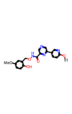 CCOc1ccc(-c2cncc(C(=O)NOCc3cc(OC)ccc3O)n2)cn1